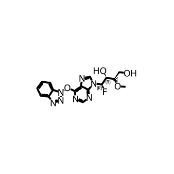 CO[C@H](CO)[C@@H](O)[C@@H](F)n1cnc2c(On3nnc4ccccc43)ncnc21